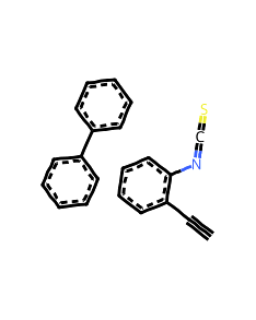 C#Cc1ccccc1N=C=S.c1ccc(-c2ccccc2)cc1